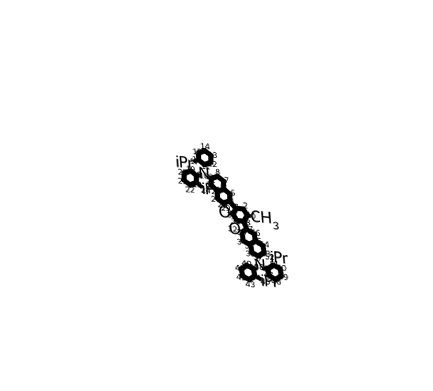 Cc1cc2c3cc4ccc(N(c5ccccc5C(C)C)c5ccccc5C(C)C)cc4cc3oc2c2oc3cc4cc(N(c5ccccc5C(C)C)c5ccccc5C(C)C)ccc4cc3c12